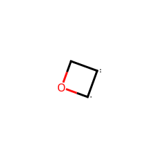 [C]1[CH]OC1